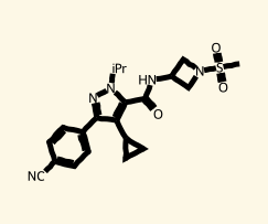 CC(C)n1nc(-c2ccc(C#N)cc2)c(C2CC2)c1C(=O)NC1CN(S(C)(=O)=O)C1